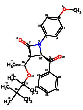 COc1ccc(N2C(=O)[C@H]([C@@H](C)O[Si](C)(C)C(C)(C)C)[C@@H]2C(=O)c2ccccc2)cc1